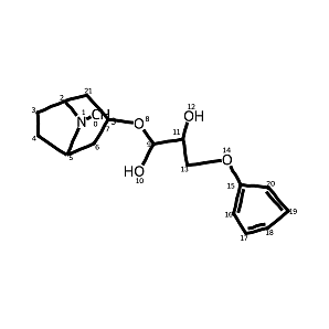 CN1C2CCC1CC(OC(O)C(O)COc1ccccc1)C2